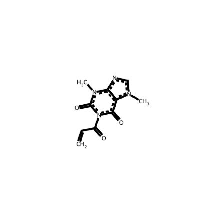 C=CC(=O)n1c(=O)c2c(ncn2C)n(C)c1=O